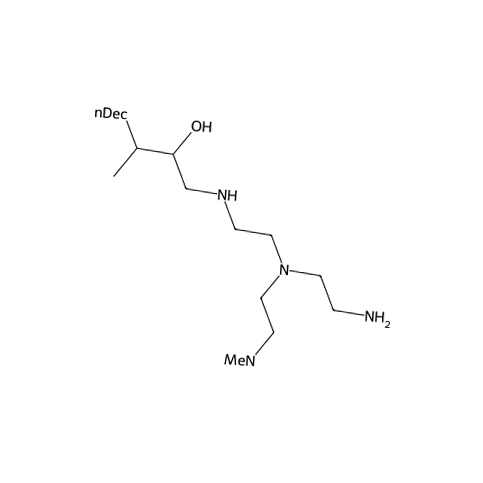 CCCCCCCCCCC(C)C(O)CNCCN(CCN)CCNC